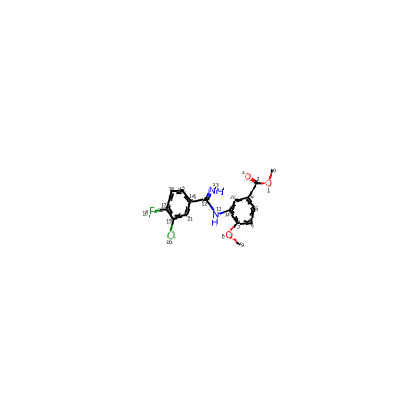 COC(=O)c1ccc(OC)c(NC(=N)c2ccc(F)c(Cl)c2)c1